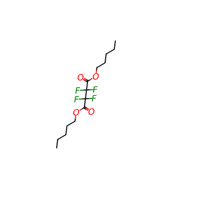 CCCCCOC(=O)C(F)(F)C(F)(F)C(=O)OCCCCC